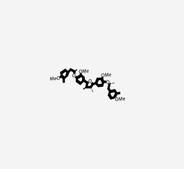 COc1ccc(C[C@@H](C)Oc2ccc(C3OC(c4ccc(O[C@H](C)Cc5ccc(OC)c(C)c5)c(OC)c4)[C@H](C)[C@H]3C)cc2OC)cc1C